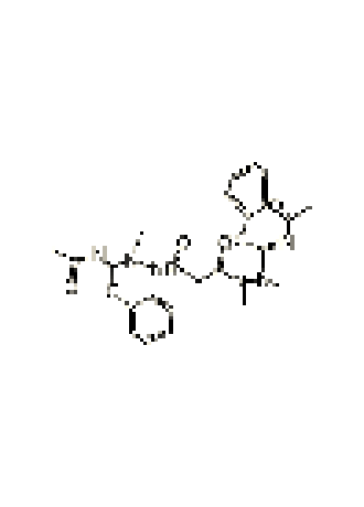 CC(=O)/N=C(\Oc1ccccc1)N(C)NC(=O)CC(=O)NN(C)/C(=N/C(C)=O)Oc1ccccc1